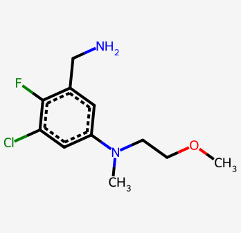 COCCN(C)c1cc(Cl)c(F)c(CN)c1